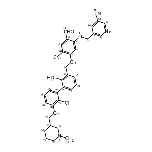 Cc1c(COc2cc(OCc3cncc(C#N)c3)c(C=O)cc2Cl)cccc1-c1cccc(OCC2CCCN(C)C2)c1Cl